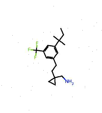 CCC(C)(C)c1cc(CCC2(CN)CC2)cc(C(F)(F)F)c1